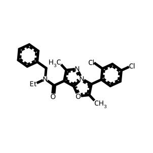 CCN(Cc1ccccc1)C(=O)c1c(C)nn2c(-c3ccc(Cl)cc3Cl)c(C)oc12